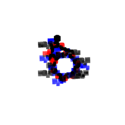 CCC(C)CCCCCCC(=O)NC(Cc1c[nH]c2ccccc12)C(=O)NC(CCC(=O)O)C(=O)NC(C(=O)NC1C(=O)N(C)CC(=O)NC(C)C(=O)NC(CC(=O)O)C(=O)NC(CC(N)=O)C(=O)NC(C(OC)C(=O)O)C(=O)NCC(=O)NC(CC(N)=O)C(=O)NC(CCC(=O)O)C(=O)NC(C(C)C)C(=O)OC1C)C(O)C(N)=O